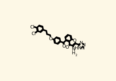 Nc1c(-c2nnn[nH]2)oc2cccc(C(=O)c3ccc(OCCCc4ccc(Cl)c(Cl)c4)cc3)c2c1=O